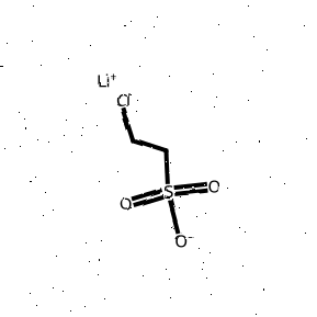 O=S(=O)([O-])CCCl.[Li+]